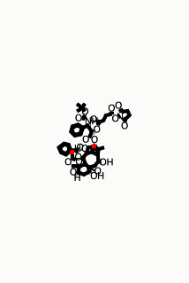 CC(=O)O[C@@]12CO[C@@H]1C[C@H](O)[C@@]1(C)C(=O)[C@H](O)C3=C(C)[C@@H](OC(=O)[C@H](OC(=O)CCC(=O)ON4C(=O)CCC4=O)[C@@H](NC(=O)OC(C)(C)C)c4ccccc4)C[C@@](O)([C@@H](OC(=O)c4ccccc4)C12)C3(C)C